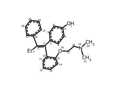 CCC(=C(c1ccc(O)cc1)c1ccccc1OCCN(C)C)c1ccccc1